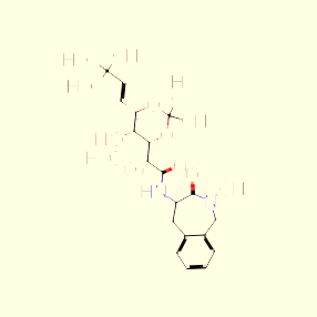 CO[C@@H](C(=O)NC1Cc2ccccc2CN(C)C1=O)[C@@H]1OC(C)(C)O[C@H](C=CC(C)(C)C)[C@@H]1O